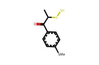 CSc1ccc(C(=O)C(C)SS)cc1